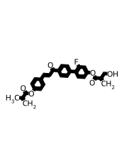 C=C(C)C(=O)Oc1ccc(/C=C/C(=O)c2ccc(-c3ccc(OC(=O)C(=C)CO)cc3F)cc2)cc1